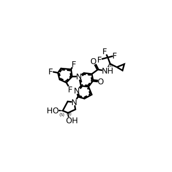 O=C(N[C@@H](C1CC1)C(F)(F)F)c1cn(-c2c(F)cc(F)cc2F)c2nc(N3C[C@@H](O)[C@@H](O)C3)ccc2c1=O